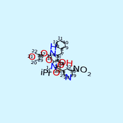 CC(C)CN(C[C@@H](O)[C@H](Cc1ccccc1)NC(=O)O[C@H]1CCOC1)S(=O)(=O)c1cncc([N+](=O)[O-])c1